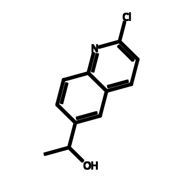 CC(O)c1ccc2nc(Cl)ccc2c1